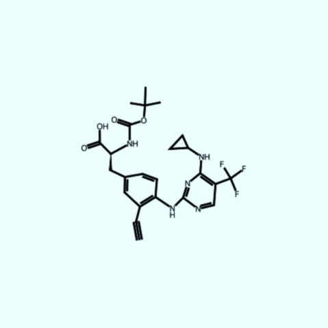 C#Cc1cc(C[C@H](NC(=O)OC(C)(C)C)C(=O)O)ccc1Nc1ncc(C(F)(F)F)c(NC2CC2)n1